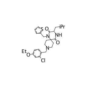 CCOc1ccc(CN2CCC3(CC2)C(=O)NC(CC(C)C)C(=O)N3Cc2cccs2)c(Cl)c1